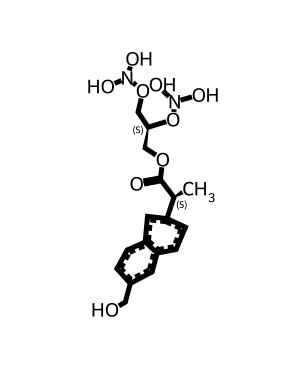 C[C@H](C(=O)OC[C@@H](CON(O)O)ON(O)O)c1ccc2cc(CO)ccc2c1